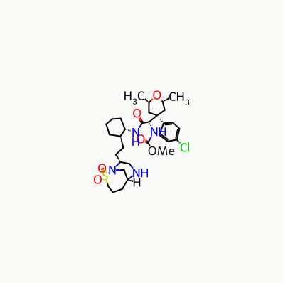 COC(=O)N[C@H](C(=O)N[C@H]1CCCC[C@@H]1CC[C@H]1CN[C@@H]2CCCS(=O)(=O)N1C2)[C@@]1(c2ccc(Cl)cc2)C[C@@H](C)O[C@@H](C)C1